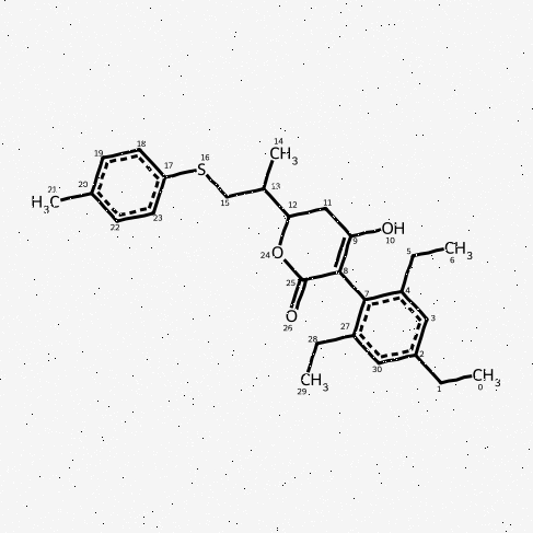 CCc1cc(CC)c(C2=C(O)CC(C(C)CSc3ccc(C)cc3)OC2=O)c(CC)c1